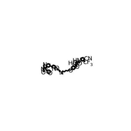 CN(CCCCCOc1ccc(S(=O)(=O)CC(C)(O)C(=O)Nc2ccc(C#N)c(C(F)(F)F)c2)cc1)CCCOc1ccc(-c2ccc3ncc4c(c3c2)n(C2CCOCC2)c(=O)n4C)cn1